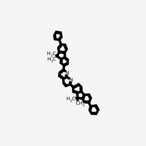 CC1(C)c2cc(-c3ccccc3)ccc2-c2ccc(-c3ccc4ccc(-c5ccc6c(c5)C(C)(C)c5cc(-c7ccccc7)ccc5-6)nc4n3)cc21